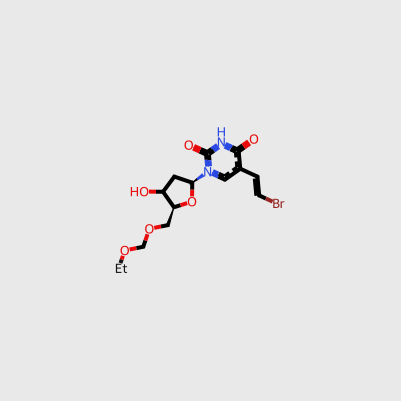 CCOCOC[C@@H]1O[C@H](n2cc(C=CBr)c(=O)[nH]c2=O)CC1O